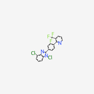 FC(F)(F)c1cccnc1-c1ccc(-c2nc3c(Cl)cccc3n2Cl)cc1